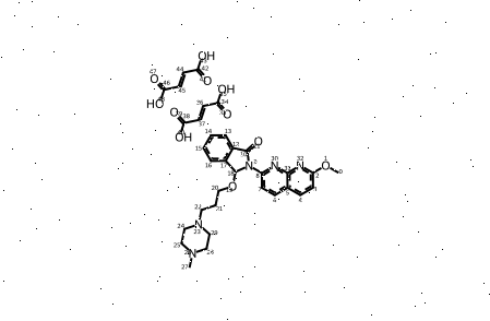 COc1ccc2ccc(N3C(=O)c4ccccc4C3OCCCN3CCN(C)CC3)nc2n1.O=C(O)C=CC(=O)O.O=C(O)C=CC(=O)O